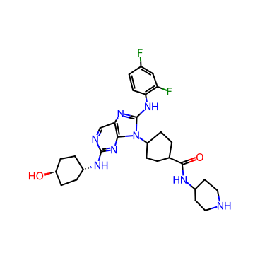 O=C(NC1CCNCC1)C1CCC(n2c(Nc3ccc(F)cc3F)nc3cnc(N[C@H]4CC[C@H](O)CC4)nc32)CC1